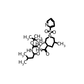 CC(C)CC(NC(=O)OC(C)(C)C)ONC(=O)C1CC(C)CN(S(=O)(=O)c2ccccn2)C[C@H]1O